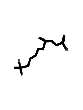 CCC(=O)OCC(C)SCCCCC(C)(F)F